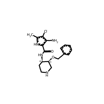 Cc1[nH]c(C(=O)N[C@@H]2CCNC[C@@H]2OCc2ccccc2)c(N)c1Cl